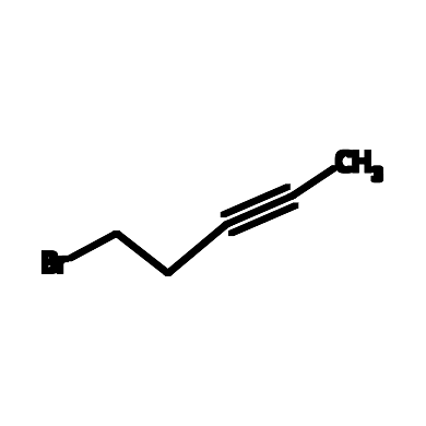 CC#CCCBr